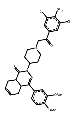 COc1ccc(C2=NN(C3CCN(CC(=O)c4cc(Cl)c(N)c(Cl)c4)CC3)C(=O)C3CC=CCC23)cc1OC